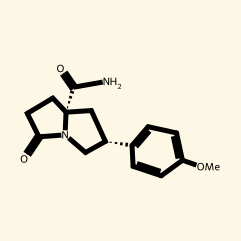 COc1ccc([C@@H]2CN3C(=O)CC[C@@]3(C(N)=O)C2)cc1